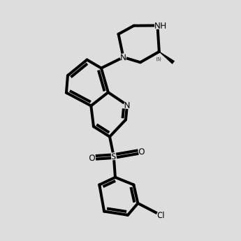 C[C@H]1CN(c2cccc3cc(S(=O)(=O)c4cccc(Cl)c4)cnc23)CCN1